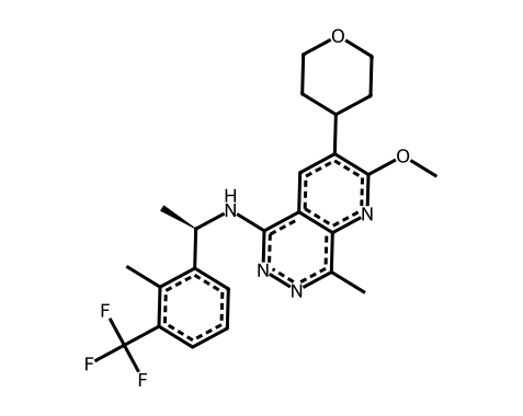 COc1nc2c(C)nnc(N[C@H](C)c3cccc(C(F)(F)F)c3C)c2cc1C1CCOCC1